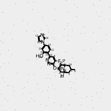 CC1C[C@H]2C[C@H](Oc3ccc(-c4ccc(-n5ccnc5)cc4O)nn3)[C@@H](F)[C@@](C)(C1)N2